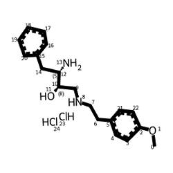 COc1ccc(CCNC[C@@H](O)[C@@H](N)Cc2ccccc2)cc1.Cl.Cl